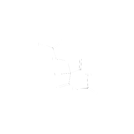 CC(C)COC(=O)NOC1(C)C(=O)NC(=O)NC1=O